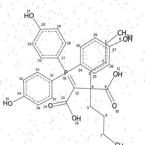 CCCCC(CCCC)(C(=O)O)C(C(=O)O)=P(c1ccc(O)cc1)(c1ccc(O)cc1)c1ccc(O)cc1